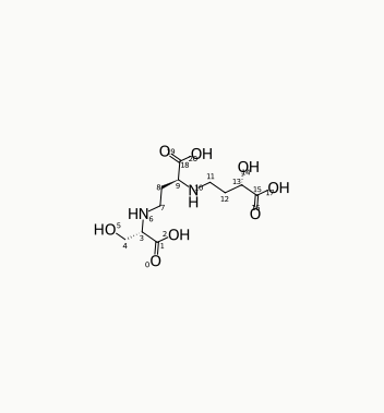 O=C(O)[C@H](CO)NCC[C@H](NCC[C@H](O)C(=O)O)C(=O)O